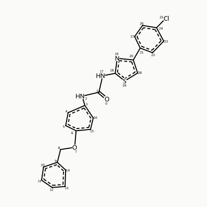 O=C(Nc1ccc(OCc2ccccc2)cc1)Nc1nc(-c2ccc(Cl)cc2)cs1